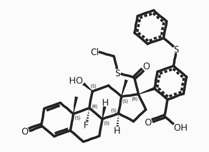 C[C@]12C=CC(=O)C=C1CC[C@H]1[C@@H]3CC[C@](C(=O)SCCl)(c4cc(Sc5ccccc5)ccc4C(=O)O)[C@@]3(C)C[C@H](O)[C@@]12F